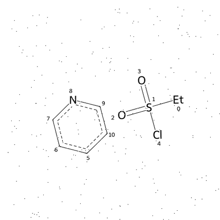 CCS(=O)(=O)Cl.c1ccncc1